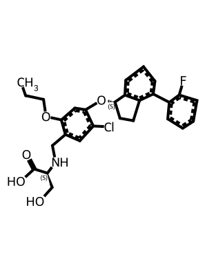 CCCOc1cc(O[C@H]2CCc3c(-c4ccccc4F)cccc32)c(Cl)cc1CN[C@@H](CO)C(=O)O